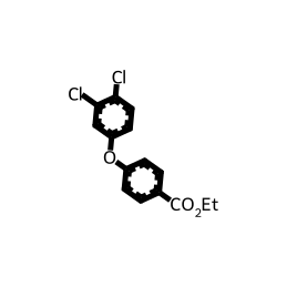 CCOC(=O)c1ccc(Oc2ccc(Cl)c(Cl)c2)cc1